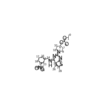 CCOC(=O)OC1CCN(c2nc(NCc3cccc([N+](=O)[O-])c3)c3c(C)c(C)sc3n2)CC1